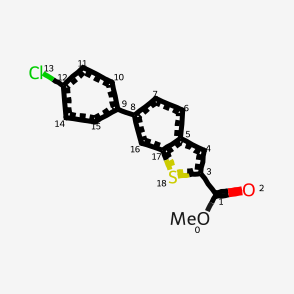 COC(=O)c1cc2ccc(-c3ccc(Cl)cc3)cc2s1